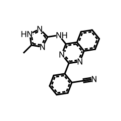 Cc1nc(Nc2nc(-c3ccccc3C#N)nc3ccccc23)n[nH]1